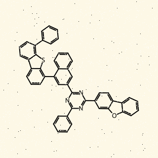 c1ccc(-c2nc(-c3cc(-c4cccc5c4sc4c(-c6ccccc6)cccc45)c4ccccc4c3)nc(-c3ccc4c(c3)oc3ccccc34)n2)cc1